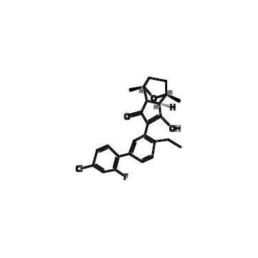 CCc1ccc(-c2ccc(Cl)cc2F)cc1C1=C(O)[C@H]2C(C1=O)[C@]1(C)CC[C@@]2(C)O1